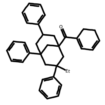 CCC1(c2ccccc2)CC2(C(=O)C3=CC=CCC3)CC(c3ccccc3)CC(c3ccccc3)(C2)C1